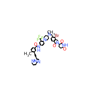 Cc1ccc(C(=O)Nc2ccc(N3CCC(N(C)Cc4ccc5c(c4Br)CN(C4CCC(=O)NC4=O)C5=O)CC3)c(C(F)(F)F)c2)cc1C#Cc1cnc2cccnn12